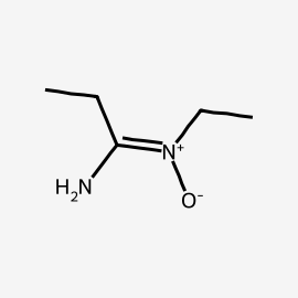 CC/C(N)=[N+](/[O-])CC